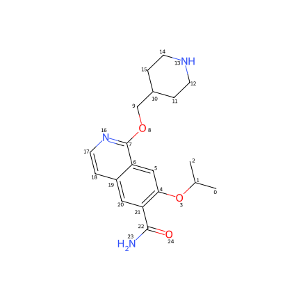 CC(C)Oc1cc2c(OCC3CCNCC3)nccc2cc1C(N)=O